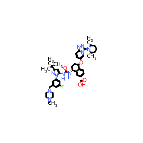 C[C@@H]1CCC[C@H](C)N1c1nnc2ccc(O[C@@H]3CC[C@H](NC(=O)Nc4cc(C(C)(C)C)nn4-c4cc(F)cc(CN5CCN(C)CC5)c4)c4ccccc43)cn12.O=CO